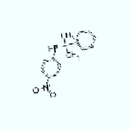 CC(C)(Pc1ccc([N+](=O)[O-])cc1)c1ccccc1